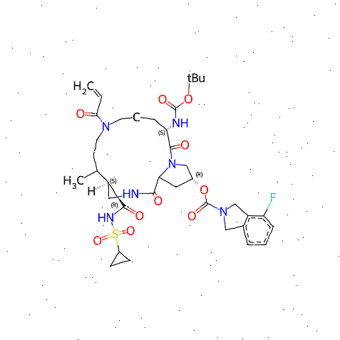 C=CC(=O)N1CCC[C@H](NC(=O)OC(C)(C)C)C(=O)N2C[C@H](OC(=O)N3Cc4cccc(F)c4C3)CC2C(=O)N[C@]2(C(=O)NS(=O)(=O)C3CC3)C[C@H]2C(C)CC1